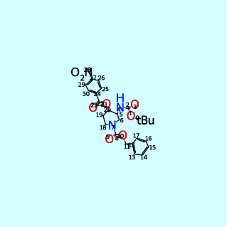 CC(C)(C)OC(=O)NC1CN(C(=O)OCc2ccccc2)CCC1OC(=O)c1ccc([N+](=O)[O-])cc1